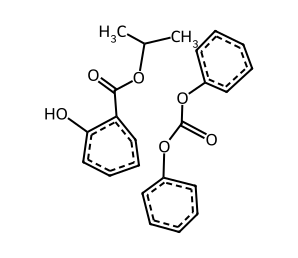 CC(C)OC(=O)c1ccccc1O.O=C(Oc1ccccc1)Oc1ccccc1